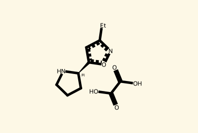 CCc1cc([C@H]2CCCN2)on1.O=C(O)C(=O)O